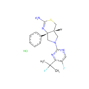 CC(C)(F)c1nc(N2C[C@H]3CSC(N)=N[C@@]3(c3ccccc3)C2)ncc1F.Cl